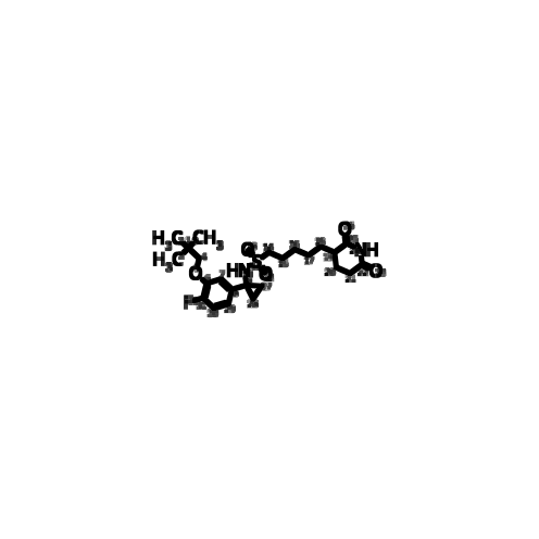 CC(C)(C)COc1cc(C2(NS(=O)(=O)CCCCCC3CCC(=O)NC3=O)CC2)ccc1F